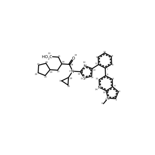 Cn1ccc2cc(-c3ccccc3-c3csc(N(C(=O)C(CC(=O)O)CC4CCCC4)C4CC4)n3)cnc21